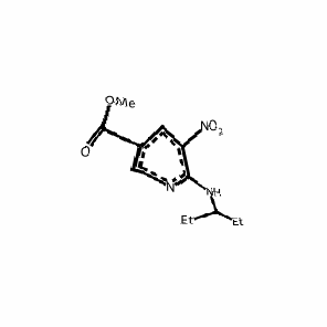 CCC(CC)Nc1ncc(C(=O)OC)cc1[N+](=O)[O-]